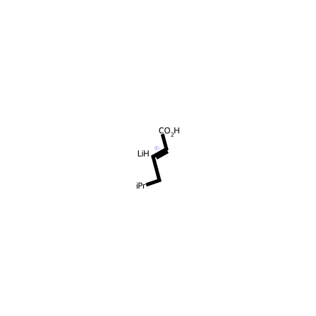 CC(C)C/C=C/C(=O)O.[LiH]